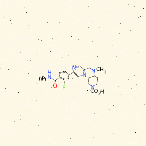 CCCNC(=O)c1ccc(-c2cnc(CN(C)C3CCN(C(=O)O)CC3)cn2)cc1F